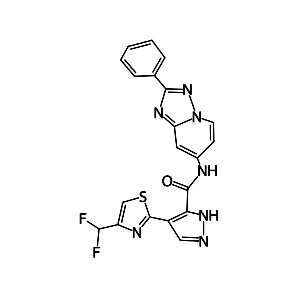 O=C(Nc1ccn2nc(-c3ccccc3)nc2c1)c1[nH]ncc1-c1nc(C(F)F)cs1